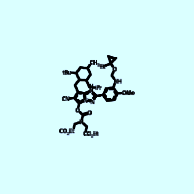 [C-]#[N+]c1c(CC2C(CC(C)C)CC(C)CC2C(C)(C)C)c2[nH]c(-c3ccc(OC)c(NCOC4(CC)CC4)c3)nn2c1OC(=O)N(CC(=O)OCC)CC(=O)OCC